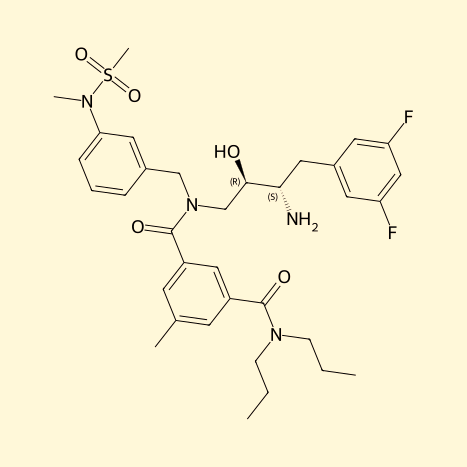 CCCN(CCC)C(=O)c1cc(C)cc(C(=O)N(Cc2cccc(N(C)S(C)(=O)=O)c2)C[C@@H](O)[C@@H](N)Cc2cc(F)cc(F)c2)c1